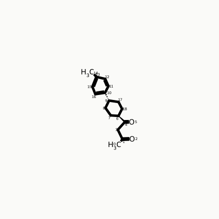 CC(=O)CC(=O)[C@H]1CC[C@H](c2ccc(C)cc2)CC1